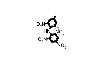 O=[N+]([O-])c1cc([N+](=O)[O-])c(Nc2c(Cl)cc(I)cc2[N+](=O)[O-])c([N+](=O)[O-])c1